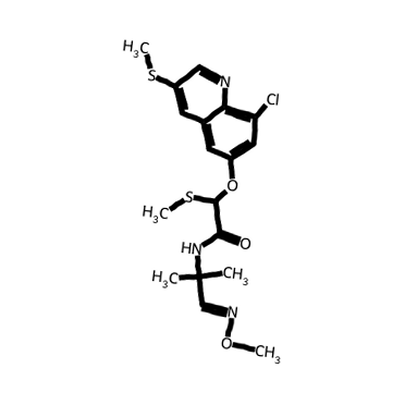 CO/N=C/C(C)(C)NC(=O)C(Oc1cc(Cl)c2ncc(SC)cc2c1)SC